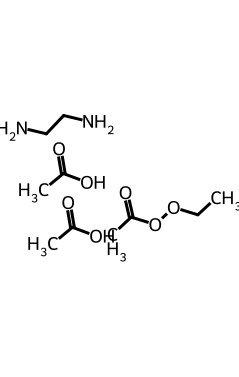 CC(=O)O.CC(=O)O.CCOOC(C)=O.NCCN